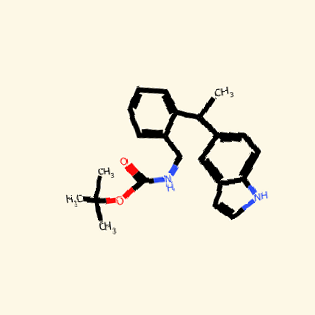 CC(c1ccc2[nH]ccc2c1)c1ccccc1CNC(=O)OC(C)(C)C